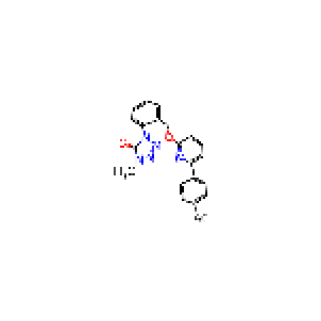 CC(=O)c1ccc(-c2cccc(OCc3ccccc3-n3nnn(C)c3=O)n2)cc1